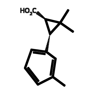 Cc1cccc([C@@H]2[C@@H](C(=O)O)C2(C)C)c1